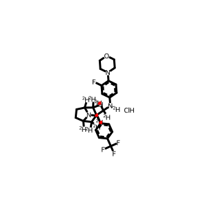 Cl.[2H]N(c1ccc(N2CCOCC2)c(F)c1)C([2H])([2H])C1([2H])C([2H])([2H])C2([2H])CCC([2H])(N2Cc2ccc(C(F)(F)F)cc2)C1([2H])[2H]